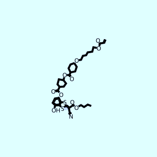 C=CC(=O)OCCCCCCOC1CCC(C(=O)OC2CCC(C(=O)Oc3ccc(O)c4c3S/C(=C(/C#N)C(=O)OCCCC)S4)CC2)CC1